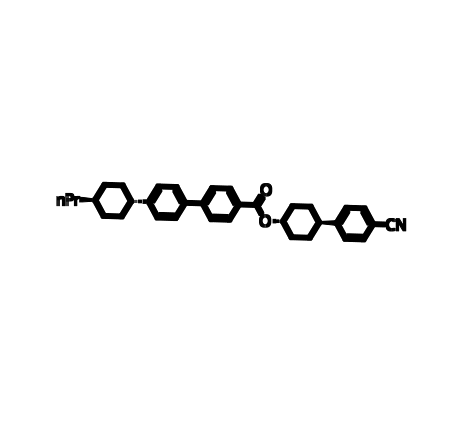 CCC[C@H]1CC[C@H](c2ccc(-c3ccc(C(=O)O[C@H]4CC[C@H](c5ccc(C#N)cc5)CC4)cc3)cc2)CC1